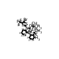 CC(C)(C)OC(=O)N(c1nc(C(F)(F)F)c(Br)s1)c1cccnc1Oc1ccccc1C(C)(C)C